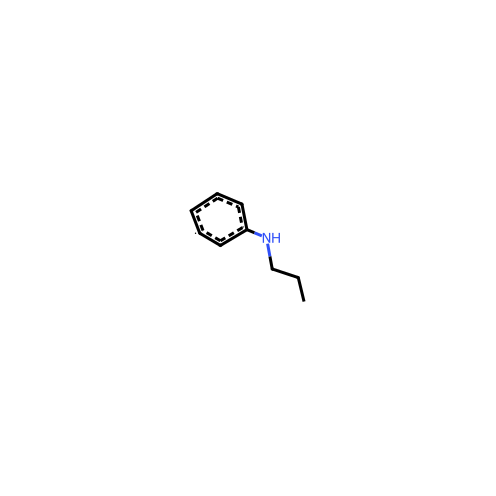 CCCNc1c[c]ccc1